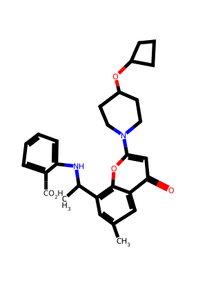 Cc1cc(C(C)Nc2ccccc2C(=O)O)c2oc(N3CCC(OC4CCC4)CC3)cc(=O)c2c1